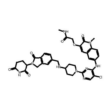 CNC(=O)COc1cc2cc(Nc3nc(N4CCC(NCc5ccc6c(c5)CN(C5CCC(=O)NC5=O)C6=O)CC4)ncc3Cl)ccc2n(C)c1=O